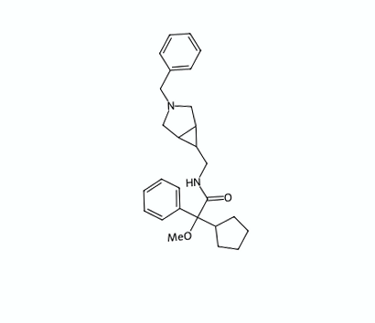 COC(C(=O)NCC1C2CN(Cc3ccccc3)CC12)(c1ccccc1)C1CCCC1